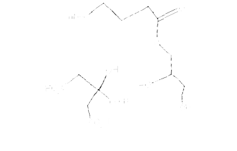 CCCCCCCCCCCCCC(=O)OCC(O)CO.O=C(O)CC(O)(CC(=O)O)C(=O)O